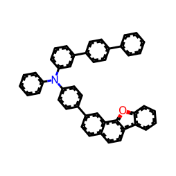 c1ccc(-c2ccc(-c3cccc(N(c4ccccc4)c4ccc(-c5ccc6ccc7c8ccccc8oc7c6c5)cc4)c3)cc2)cc1